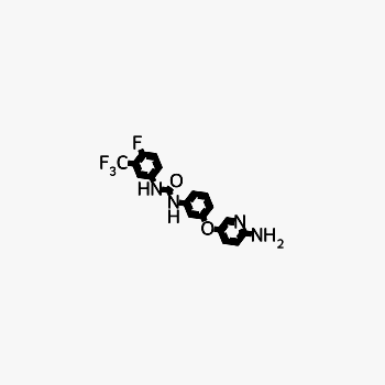 Nc1ccc(Oc2cccc(NC(=O)Nc3ccc(F)c(C(F)(F)F)c3)c2)cn1